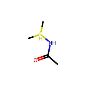 CC(=O)N[SH](C)C